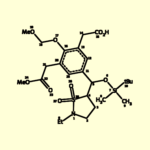 CCN1CCC(C(O[Si](C)(C)C(C)(C)C)c2cc(CC(=O)O)c(OCOC)c(CC(=O)OC)c2)S1(=O)=O